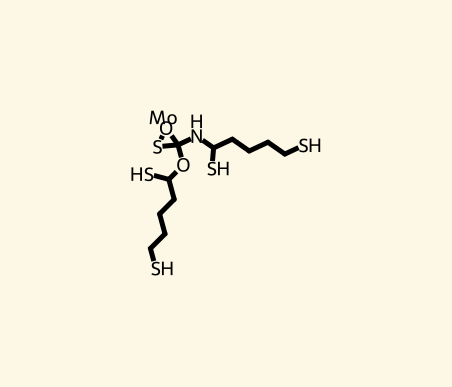 SCCCCC(S)NC1(OC(S)CCCCS)OS1.[Mo]